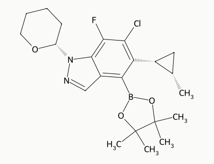 C[C@H]1C[C@H]1c1c(Cl)c(F)c2c(cnn2[C@H]2CCCCO2)c1B1OC(C)(C)C(C)(C)O1